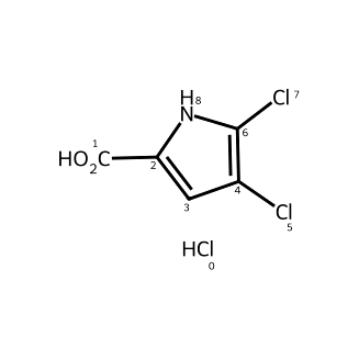 Cl.O=C(O)c1cc(Cl)c(Cl)[nH]1